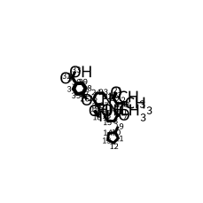 CC(C)(C)[C@H](NC(=O)[C@H](CC1CCCC1)CN(O)C=O)C(=O)N1CCC(Oc2ccc(C(=O)O)cc2)CC1